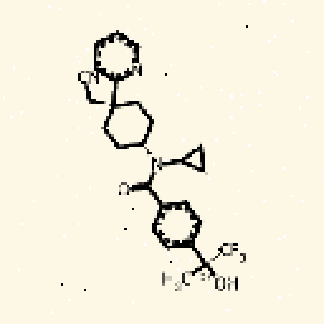 C[C@](O)(c1ccc(C(=O)N(C2CC2)[C@H]2CC[C@@](CC#N)(c3ccccn3)CC2)cc1)C(F)(F)F